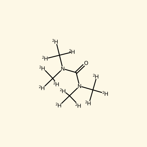 [2H]C([2H])([2H])N(C(=O)N(C([2H])([2H])[2H])C([2H])([2H])[2H])C([2H])([2H])[2H]